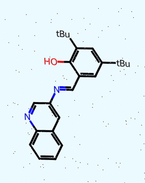 CC(C)(C)c1cc(C=Nc2cnc3ccccc3c2)c(O)c(C(C)(C)C)c1